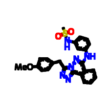 COc1ccc(Cc2nnc3c4ccccc4c(Nc4cccc(NS(C)(=O)=O)c4)nn23)cc1